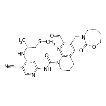 CSCC(C)Nc1cc(NC(=O)N2CCCc3cc(CN4CCCCOC4=O)c(C=O)nc32)ncc1C#N